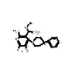 Cc1nc(C)c(C(OC(C)(C)C)C(=O)O)c(N2CCC(c3ccccc3)CC2)c1Br